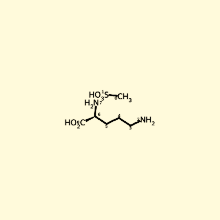 CS(=O)(=O)O.NCCC[C@H](N)C(=O)O